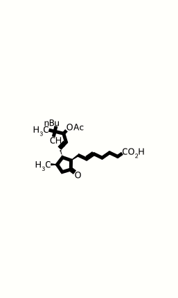 CCCCC(C)(C)C(/C=C/[C@H]1[C@H](C)CC(=O)[C@@H]1CC=CCCCC(=O)O)OC(C)=O